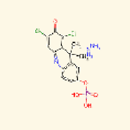 CC1(C)C2=C(Cl)C(=O)C(Cl)=CC2=Nc2ccc(OP(=O)(O)O)cc21.N.N